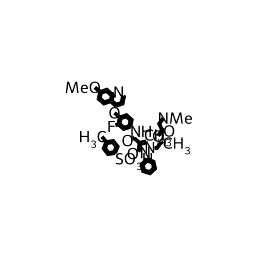 CNCC(=O)O[C@H](C)Cn1c(C)c(C(=O)Nc2ccc(Oc3ccnc4cc(OC)ccc34)c(F)c2)c(=O)n1-c1ccccc1.Cc1ccc(S(=O)(=O)O)cc1